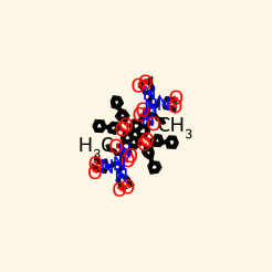 CCCCC(C(=O)N(CCN(CC1CO1)CC1CO1)CCN(CC1CO1)CC1CO1)N1C(=O)c2cc(Oc3ccc(-c4ccccc4)cc3)c3c4c(Oc5ccc(-c6ccccc6)cc5)cc5c6c(cc(Oc7ccc(-c8ccccc8)cc7)c(c7c(Oc8ccc(-c9ccccc9)cc8)cc(c2c37)C1=O)c64)C(=O)N(C(CCCC)C(=O)N(CCN(CC1CO1)CC1CO1)CCN(CC1CO1)CC1CO1)C5=O